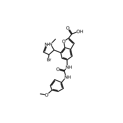 COc1ccc(NC(=O)Nc2cc(C3C(Br)C=NN3C)c3oc(C(=O)O)cc3c2)cc1